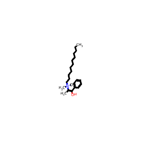 CCCCCCCCCCCC[N+](C)(C)C(C)C(O)c1ccccc1